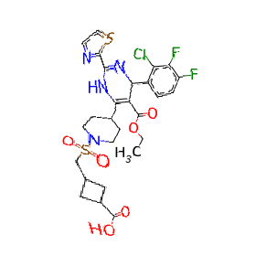 CCOC(=O)C1=C(C2CCN(S(=O)(=O)CC3CC(C(=O)O)C3)CC2)NC(c2nccs2)=NC1c1ccc(F)c(F)c1Cl